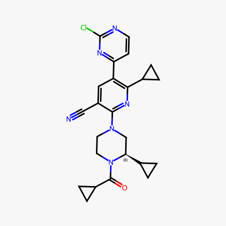 N#Cc1cc(-c2ccnc(Cl)n2)c(C2CC2)nc1N1CCN(C(=O)C2CC2)[C@H](C2CC2)C1